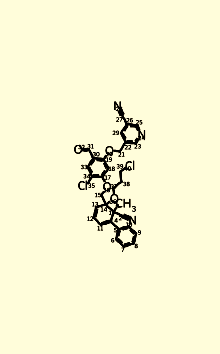 CC1(C#N)C(c2ccccc2)=CC=CC1(COc1cc(OCc2cncc(C#N)c2)c(C=O)cc1Cl)OCCCCl